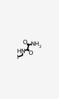 NC(=O)C(=O)NCI